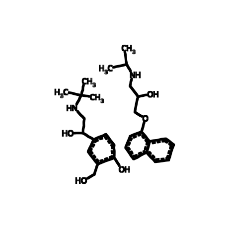 CC(C)(C)NCC(O)c1ccc(O)c(CO)c1.CC(C)NCC(O)COc1cccc2ccccc12